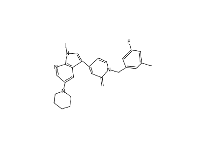 C=C1C=C(c2cn(I)c3ncc(N4CCCCC4)cc23)C=CN1Cc1cc(C)cc(F)c1